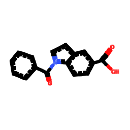 O=C(O)c1ccc2c(ccn2C(=O)c2ccccc2)c1